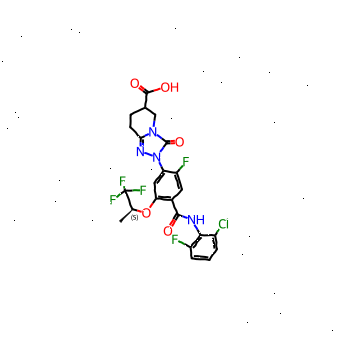 C[C@H](Oc1cc(-n2nc3n(c2=O)CC(C(=O)O)CC3)c(F)cc1C(=O)Nc1c(F)cccc1Cl)C(F)(F)F